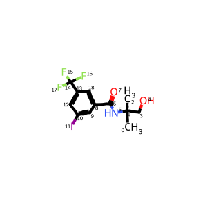 CC(C)(CO)NC(=O)c1cc(I)cc(C(F)(F)F)c1